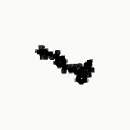 C=CC(C)(CC)N1C(=O)N(CC(O)COC(=O)c2ccc(C(=O)OCC(O)CC(C)(C)CC)cc2)C2(CCCCC2)C1=O